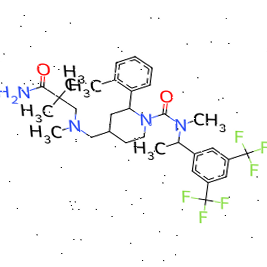 Cc1ccccc1C1CC(CN(C)CC(C)(C)C(N)=O)CCN1C(=O)N(C)C(C)c1cc(C(F)(F)F)cc(C(F)(F)F)c1